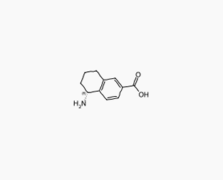 N[C@@H]1CCCc2cc(C(=O)O)ccc21